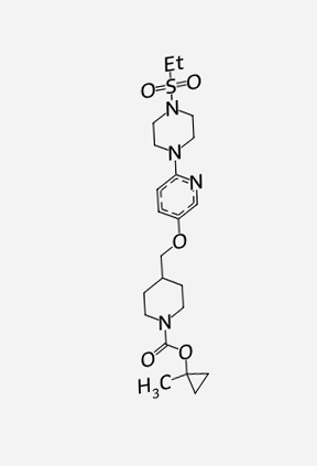 CCS(=O)(=O)N1CCN(c2ccc(OCC3CCN(C(=O)OC4(C)CC4)CC3)cn2)CC1